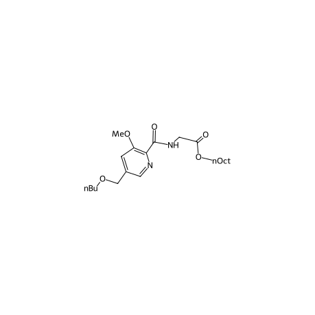 CCCCCCCCOC(=O)CNC(=O)c1ncc(COCCCC)cc1OC